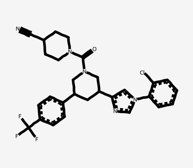 N#CC1CCN(C(=O)N2CC(c3ccc(C(F)(F)F)cc3)CC(c3cn(-c4ccccc4Cl)cn3)C2)CC1